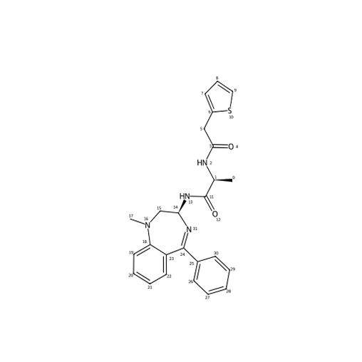 C[C@H](NC(=O)Cc1cccs1)C(=O)N[C@@H]1CN(C)c2ccccc2C(c2ccccc2)=N1